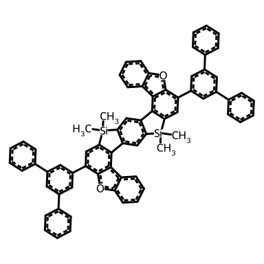 C[Si]1(C)c2cc3c(cc2-c2c1cc(-c1cc(-c4ccccc4)cc(-c4ccccc4)c1)c1oc4ccccc4c21)[Si](C)(C)c1cc(-c2cc(-c4ccccc4)cc(-c4ccccc4)c2)c2oc4ccccc4c2c1-3